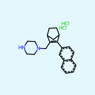 Cl.Cl.c1ccc2cc(C3=C(CN4CCNCC4)C4CCC3C4)ccc2c1